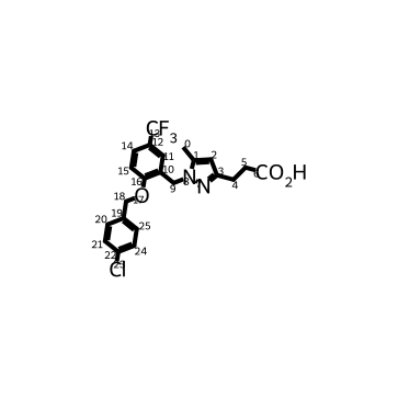 Cc1cc(CCC(=O)O)nn1Cc1cc(C(F)(F)F)ccc1OCc1ccc(Cl)cc1